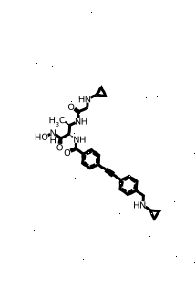 C[C@@H](NC(=O)CNC1CC1)[C@H](NC(=O)c1ccc(C#Cc2ccc(CNC3CC3)cc2)cc1)C(=O)NO